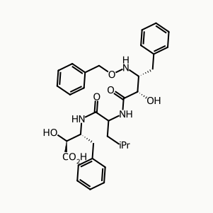 CC(C)CC(NC(=O)[C@@H](O)[C@@H](Cc1ccccc1)NOCc1ccccc1)C(=O)N[C@H](Cc1ccccc1)[C@H](O)C(=O)O